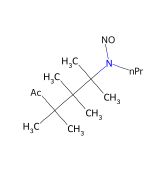 CCCN(N=O)C(C)(C)C(C)(C)C(C)(C)C(C)=O